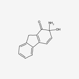 NC1(O)C=CC2=C(Cc3ccccc32)C1=O